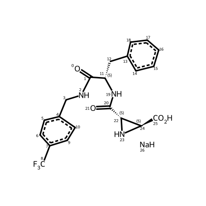 O=C(NCc1ccc(C(F)(F)F)cc1)[C@H](Cc1ccccc1)NC(=O)[C@H]1N[C@@H]1C(=O)O.[NaH]